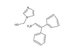 BC=C(c1ccccc1)c1ccccc1.OCn1ccnc1